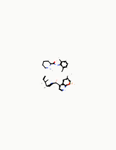 C=C[C@H]1C[N@]2CC[C@H]1C[C@@H]2[C@@H](O)c1ccnc2ccc(OC)cc12.CCCCN1CCCCC1C(=O)Nc1c(C)cccc1C.Cl.O